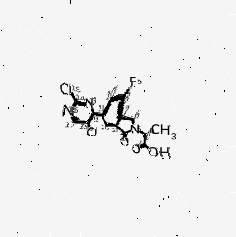 C[C@H](C(=O)O)N1Cc2c(F)cc(-c3nc(Cl)ncc3Cl)cc2C1=O